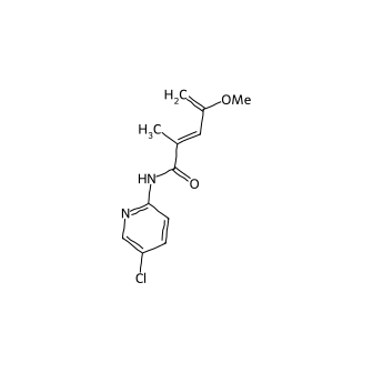 C=C(/C=C(\C)C(=O)Nc1ccc(Cl)cn1)OC